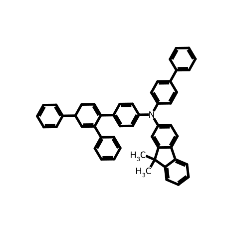 CC1(C)c2ccccc2-c2ccc(N(c3ccc(C4=CCC(c5ccccc5)C=C4c4ccccc4)cc3)c3ccc(-c4ccccc4)cc3)cc21